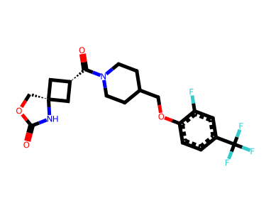 O=C1N[C@]2(CO1)C[C@@H](C(=O)N1CCC(COc3ccc(C(F)(F)F)cc3F)CC1)C2